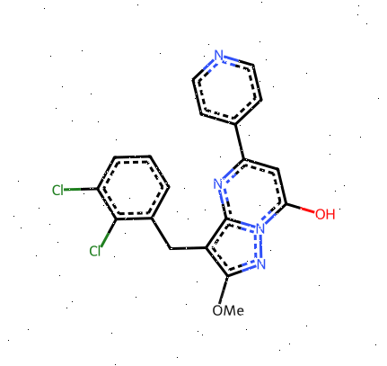 COc1nn2c(O)cc(-c3ccncc3)nc2c1Cc1cccc(Cl)c1Cl